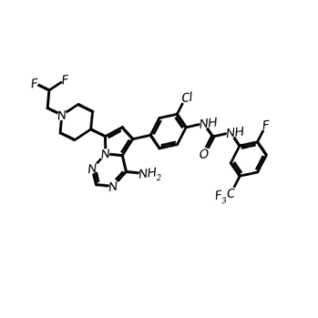 Nc1ncnn2c(C3CCN(CC(F)F)CC3)cc(-c3ccc(NC(=O)Nc4cc(C(F)(F)F)ccc4F)c(Cl)c3)c12